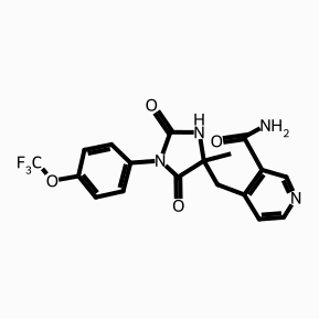 CC1(Cc2ccncc2C(N)=O)NC(=O)N(c2ccc(OC(F)(F)F)cc2)C1=O